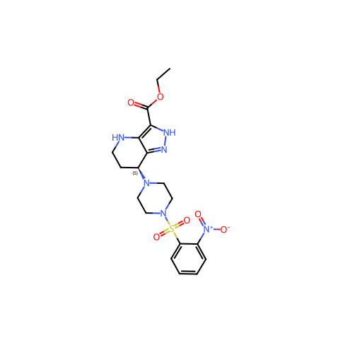 CCOC(=O)c1[nH]nc2c1NCC[C@@H]2N1CCN(S(=O)(=O)c2ccccc2[N+](=O)[O-])CC1